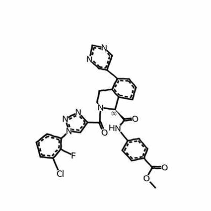 COC(=O)c1ccc(NC(=O)[C@@H]2c3cccc(-c4cncnc4)c3CCN2C(=O)c2cn(-c3cccc(Cl)c3F)nn2)cc1